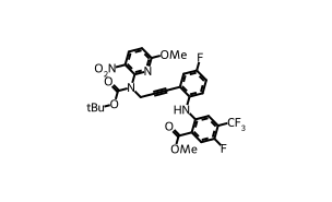 COC(=O)c1cc(F)c(C(F)(F)F)cc1Nc1ccc(F)cc1C#CCN(C(=O)OC(C)(C)C)c1nc(OC)ccc1[N+](=O)[O-]